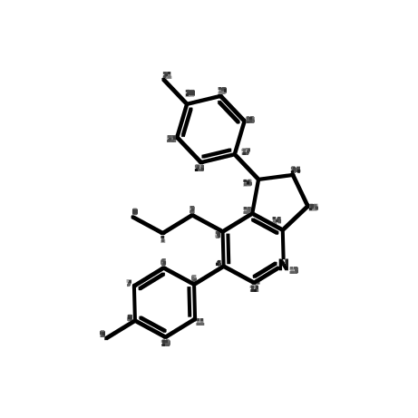 CCCc1c(-c2ccc(C)cc2)[c]nc2c1C(c1ccc(C)cc1)CC2